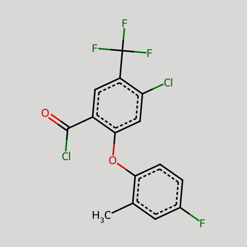 Cc1cc(F)ccc1Oc1cc(Cl)c(C(F)(F)F)cc1C(=O)Cl